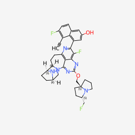 C#Cc1c(F)ccc2cc(O)cc(-c3nc4c5c(nc(OC[C@@]67CCCN6[C@H](CF)CC7)nc5c3F)N3C[C@H]5CC[C@H](N5)[C@H]3CC4)c12